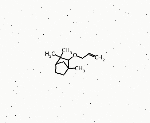 C=CCOC1C2(C)CCC(C2)C1(C)C